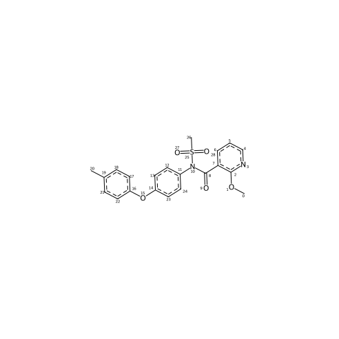 COc1ncccc1C(=O)N(c1ccc(Oc2ccc(C)cc2)cc1)S(C)(=O)=O